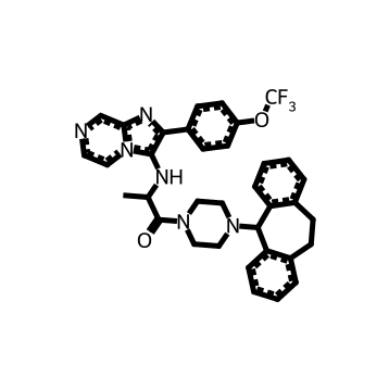 CC(Nc1c(-c2ccc(OC(F)(F)F)cc2)nc2cnccn12)C(=O)N1CCN(C2c3ccccc3CCc3ccccc32)CC1